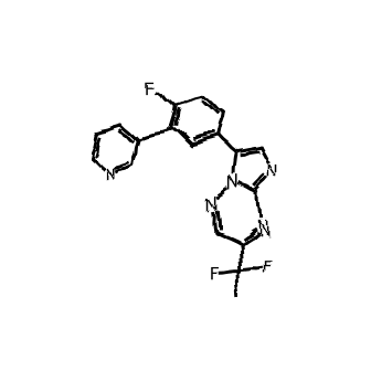 CC(F)(F)c1cnn2c(-c3ccc(F)c(-c4cccnc4)c3)cnc2n1